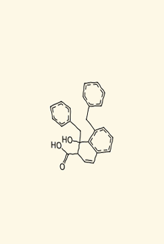 O=C(O)C1C=Cc2cccc(Cc3ccccc3)c2C1(O)Cc1ccccc1